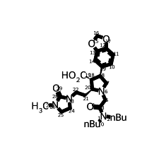 CCCCN(CCCC)C(=O)CN1C[C@H](c2ccc3c(c2)OCO3)[C@@H](C(=O)O)[C@@H]1CCN1CCN(C)C1=O